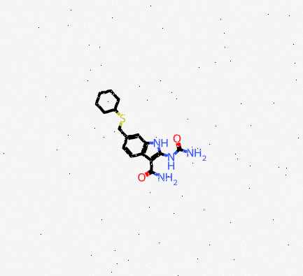 NC(=O)Nc1[nH]c2cc(CSC3CCCCC3)ccc2c1C(N)=O